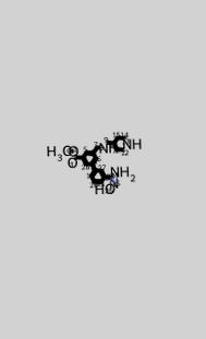 COC(=O)c1cc(CNCC2CCNCC2)cc(-c2cccc(/C(N)=N\O)c2)c1